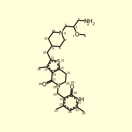 COC(CN)CN1CCC(Cc2sc3c(c2C)C(=O)N(Cc2c(C)cc(C)[nH]c2=O)CC3)CC1